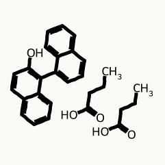 CCCC(=O)O.CCCC(=O)O.Oc1ccc2ccccc2c1-c1cccc2ccccc12